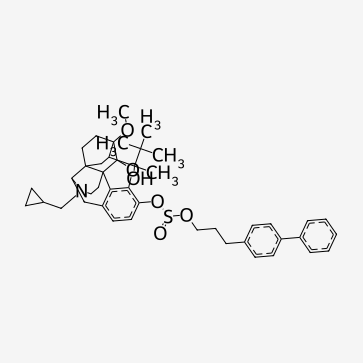 COC12CCC3(CC1C(C)(O)C(C)(C)C)C1Cc4ccc(OS(=O)OCCCc5ccc(-c6ccccc6)cc5)c5c4C3(CCN1CC1CC1)C2O5